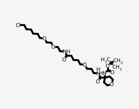 CC(C)(C)OC(=O)NC1(C(=O)NCCCOCCCCC(=O)NCCOCCOCCCCCCCl)CCOCC1